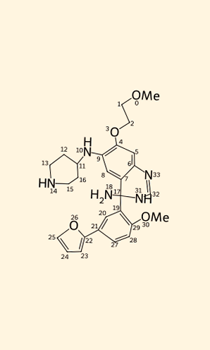 COCCOc1cc2c(cc1NC1CCNCC1)C(N)(c1cc(-c3ccco3)ccc1OC)NC=N2